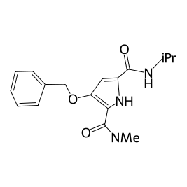 CNC(=O)c1[nH]c(C(=O)NC(C)C)cc1OCc1ccccc1